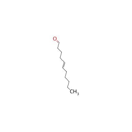 CCCCCC=CCCCC=O